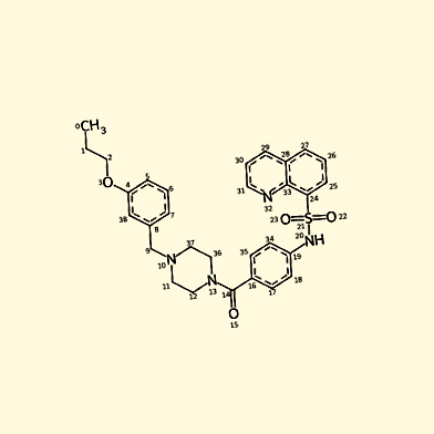 CCCOc1cccc(CN2CCN(C(=O)c3ccc(NS(=O)(=O)c4cccc5cccnc45)cc3)CC2)c1